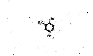 CCC(C)c1ccc([N+](=O)[O-])cc1C(F)(F)F